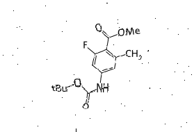 COC(=O)c1c(C)cc(NC(=O)OC(C)(C)C)cc1F